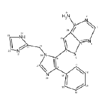 Nc1ncnc2sc(-c3c(-c4ccccc4)ncn3Cc3ncc[nH]3)cc12